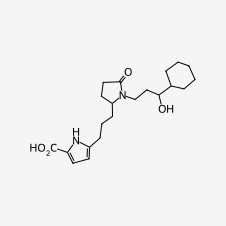 O=C(O)c1ccc(CCCC2CCC(=O)N2CCC(O)C2CCCCC2)[nH]1